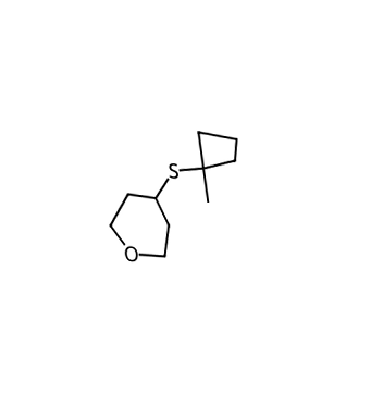 CC1(SC2CCOCC2)CCC1